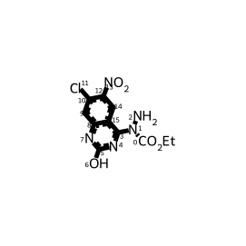 CCOC(=O)N(N)c1nc(O)nc2cc(Cl)c([N+](=O)[O-])cc12